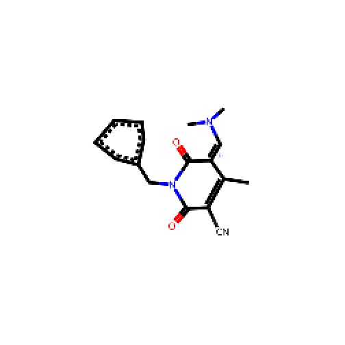 CC1=C(C#N)C(=O)N(Cc2ccccc2)C(=O)/C1=C\N(C)C